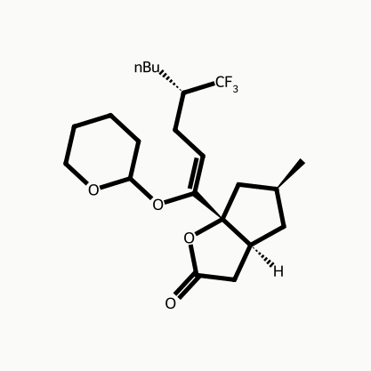 CCCC[C@@H](CC=C(OC1CCCCO1)[C@@]12C[C@@H](C)C[C@H]1CC(=O)O2)C(F)(F)F